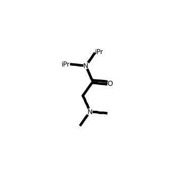 CC(C)N(C(=O)CN(C)C)C(C)C